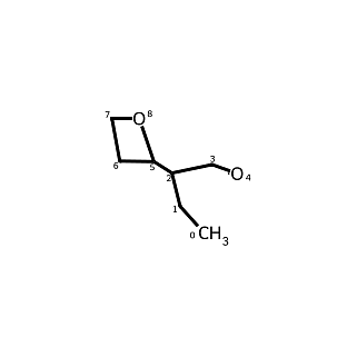 CCC(C[O])C1CCO1